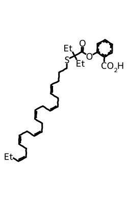 CC/C=C\C/C=C\C/C=C\C/C=C\C/C=C\C/C=C\CCCSC(CC)(CC)C(=O)Oc1ccccc1C(=O)O